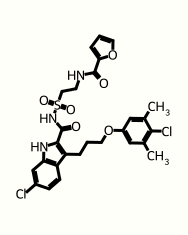 Cc1cc(OCCCc2c(C(=O)NS(=O)(=O)CCNC(=O)c3ccco3)[nH]c3cc(Cl)ccc23)cc(C)c1Cl